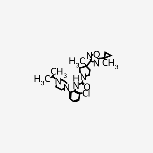 CC(C)N1CCN(c2cccc(Cl)c2NC(=O)N2CCC(C)(c3noc(C4(C)CC4)n3)CC2)CC1